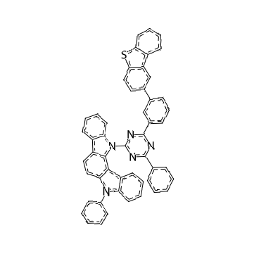 c1ccc(-c2nc(-c3cccc(-c4ccc5sc6ccccc6c5c4)c3)nc(-n3c4ccccc4c4ccc5c(c6ccccc6n5-c5ccccc5)c43)n2)cc1